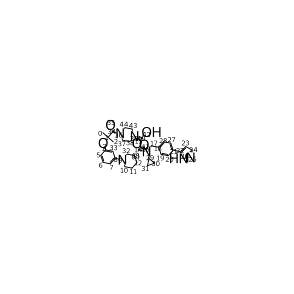 CC(C)(Oc1cccc(N2CCC[C@@H](C(=O)N(Cc3ccc(-c4ccn[nH]4)cc3)C3CC3)C2)c1)C(=O)N1CCN(C(=O)O)CC1